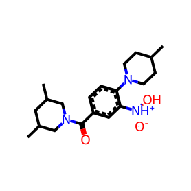 CC1CCN(c2ccc(C(=O)N3CC(C)CC(C)C3)cc2[NH+]([O-])O)CC1